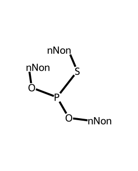 CCCCCCCCCOP(OCCCCCCCCC)SCCCCCCCCC